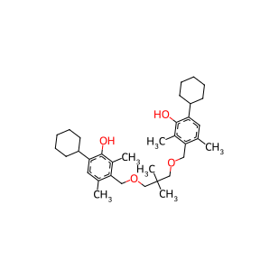 Cc1cc(C2CCCCC2)c(O)c(C)c1COCC(C)(C)COCc1c(C)cc(C2CCCCC2)c(O)c1C